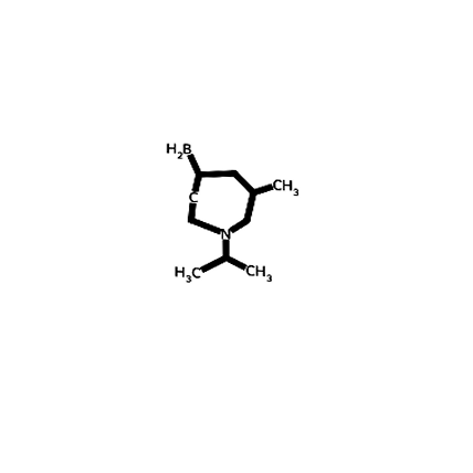 BC1CCN(C(C)C)CC(C)C1